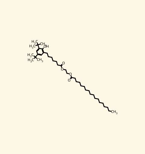 CCCCCCCCCCCCCCCCCC(=O)OCCOC(=O)CCCCCCc1cc(C(C)(C)C)cc(C(C)(C)C)c1O